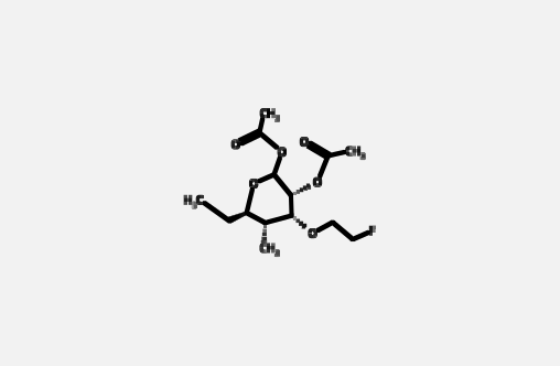 CC[C@H]1OC(OC(C)=O)[C@H](OC(C)=O)[C@H](OCCF)[C@@H]1C